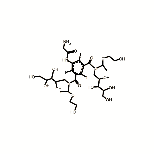 CC(OCCO)N(CC(O)C(O)C(O)CO)C(=O)c1c(I)c(NC(=O)CN)c(I)c(C(=O)N(CC(O)C(O)C(O)CO)C(C)OCCO)c1I